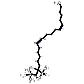 CCCCC/C=C\CCCC/C=C\CCCCCC(O)(C[N+](C)(C)C)P(=O)(O)O